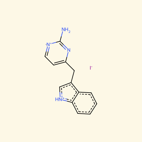 NC1=NC(Cc2c[nH]c3ccccc23)=CC=[N+]1.[I-]